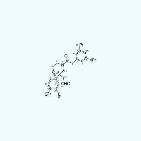 CC(C)c1cc(CC(=O)N2CCOC(CC=O)(c3ccc(Cl)c(Cl)c3)C2)cc(C(C)C)c1